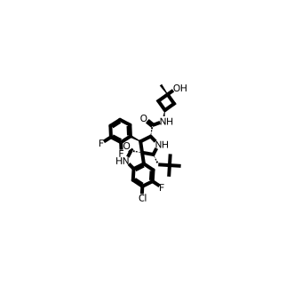 CC(C)(C)C[C@H]1N[C@@H](C(=O)N[C@H]2C[C@@](C)(O)C2)[C@H](c2cccc(F)c2F)[C@@]12C(=O)Nc1cc(Cl)c(F)cc12